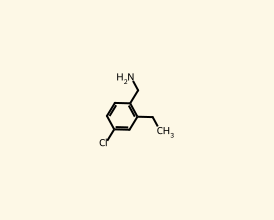 CCc1cc(Cl)ccc1CN